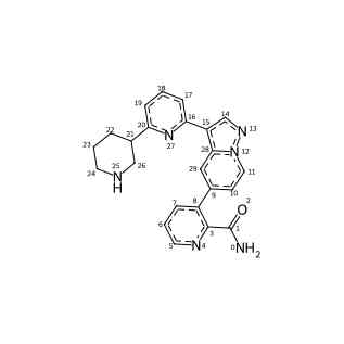 NC(=O)c1ncccc1-c1ccn2ncc(-c3cccc(C4CCCNC4)n3)c2c1